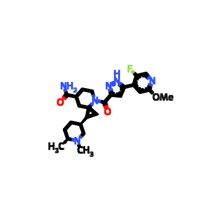 COc1cc(-c2cc(C(=O)N3CCC(C(N)=O)CC34CC4[C@@H]3CC[C@H](C)N(C)C3)n[nH]2)c(F)cn1